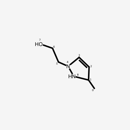 CC1C=CN(CCO)N1